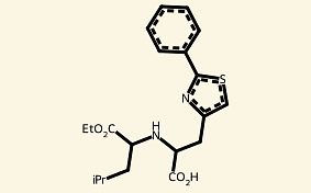 CCOC(=O)C(CC(C)C)NC(Cc1csc(-c2ccccc2)n1)C(=O)O